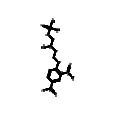 O=[N+]([O-])c1ccc(OCCC(O)COP(=O)(O)O)c([N+](=O)[O-])c1